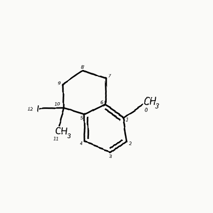 Cc1cccc2c1CCCC2(C)I